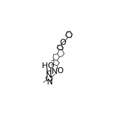 Cc1cnc(CNC(=O)C2CC3C4CCc5cc(OCc6ccccc6)ccc5C4CCC3(C)C2O)cn1